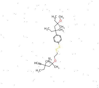 C#CC(C)(CC)CC(C)(C)OCCSSc1ccc(C(C)(CC)CC(C)(CC)OC)cc1